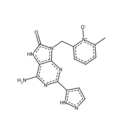 Cc1cccc(Cn2c(=O)[nH]c3c(N)nc(-c4ccn[nH]4)nc32)[n+]1[O-]